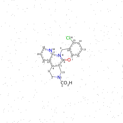 O=C(O)N1CCc2c(c(=O)n(Cc3ccccc3Cl)c3ncccc23)C1